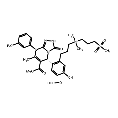 COC(=O)C1=C(C)N(c2cccc(C(F)(F)F)c2)c2n[nH]c(=O)n2[C@@H]1c1ccc(C#N)cc1CCC[N+](C)(C)CCCS(C)(=O)=O.O=C[O-]